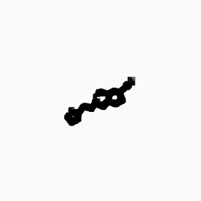 N#Cc1ccc2cc(/C=C/c3cccs3)ccc2c1